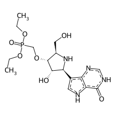 CCOP(=O)(CO[C@H]1[C@@H](O)[C@H](c2c[nH]c3c(=O)[nH]cnc23)N[C@@H]1CO)OCC